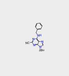 CCCCn1cnc2c(NCc3ccccc3)nc(C#N)nc21